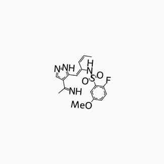 C/C=C\C(=C/c1[nH]ncc1C(C)=N)NS(=O)(=O)c1cc(OC)ccc1F